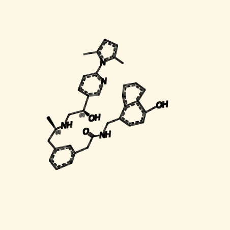 Cc1ccc(C)n1-c1ccc([C@@H](O)CN[C@H](C)Cc2cccc(CC(=O)NCc3ccc(O)c4ccccc34)c2)cn1